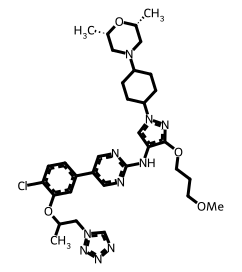 COCCCOc1nn(C2CCC(N3C[C@@H](C)O[C@@H](C)C3)CC2)cc1Nc1ncc(-c2ccc(Cl)c(OC(C)Cn3cnnn3)c2)cn1